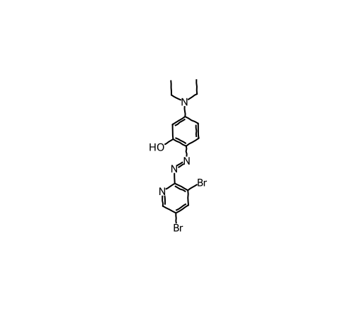 CCN(CC)c1ccc(N=Nc2ncc(Br)cc2Br)c(O)c1